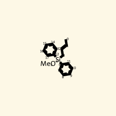 CC=CC[Si](OC)(c1ccccc1)c1ccccc1